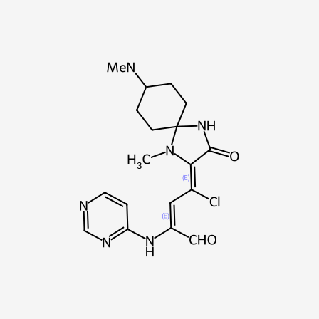 CNC1CCC2(CC1)NC(=O)/C(=C(Cl)/C=C(\C=O)Nc1ccncn1)N2C